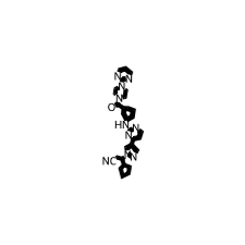 N#CCC(C1CCCC1)n1cc(-c2ccnc(Nc3cccc(C(=O)N4CCN(c5ncccn5)CC4)c3)n2)cn1